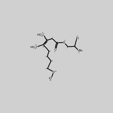 CCCCC(CC)COC(=O)CC(C(=O)O)=C(CCCCOCC)C(=O)O